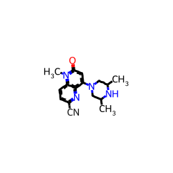 CC1CN(c2cc(=O)n(C)c3ccc(C#N)nc23)CC(C)N1